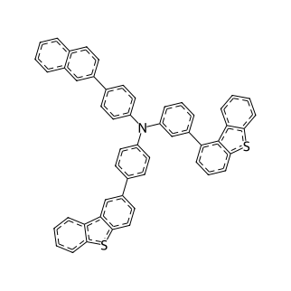 c1cc(-c2cccc3sc4ccccc4c23)cc(N(c2ccc(-c3ccc4ccccc4c3)cc2)c2ccc(-c3ccc4sc5ccccc5c4c3)cc2)c1